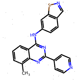 Cc1cccc2c(Nc3ccc4cnsc4c3)nc(-c3ccncc3)nc12